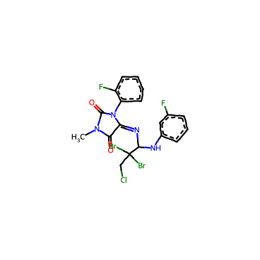 CN1C(=O)C(=NC(Nc2cccc(F)c2)C(Br)(Br)CCl)N(c2ccccc2F)C1=O